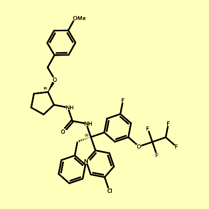 COc1ccc(CO[C@@H]2CCCC2NC(=O)N[C@@](Cc2ccccc2)(c2cc(F)cc(OC(F)(F)C(F)F)c2)c2ccc(Cl)cn2)cc1